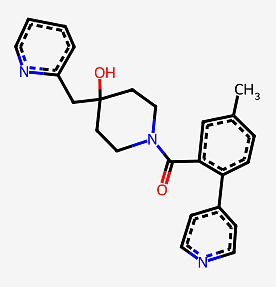 Cc1ccc(-c2ccncc2)c(C(=O)N2CCC(O)(Cc3ccccn3)CC2)c1